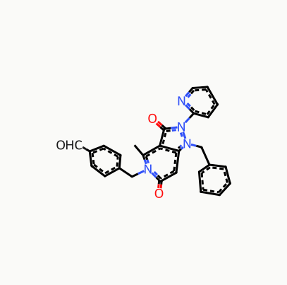 Cc1c2c(=O)n(-c3ccccn3)n(Cc3ccccc3)c2cc(=O)n1Cc1ccc(C=O)cc1